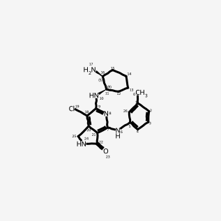 Cc1cccc(Nc2nc(N[C@@H]3CCCC[C@@H]3N)c(Cl)c3c2C(=O)NC3)c1